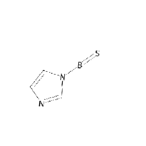 S=Bn1ccnc1